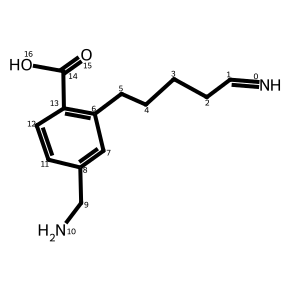 N=CCCCCc1cc(CN)ccc1C(=O)O